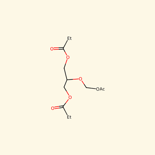 CCC(=O)OCC(COC(=O)CC)OCOC(C)=O